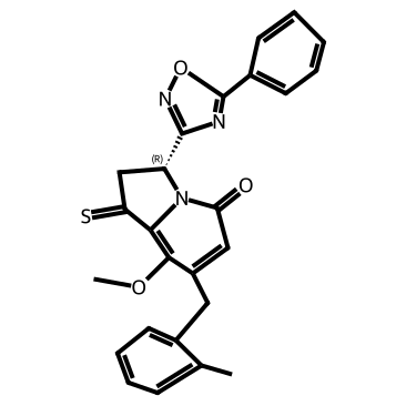 COc1c(Cc2ccccc2C)cc(=O)n2c1C(=S)C[C@@H]2c1noc(-c2ccccc2)n1